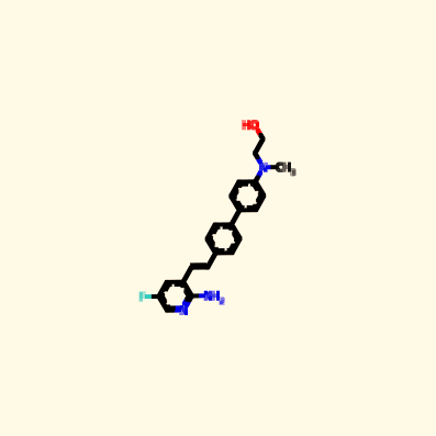 CN(CCO)c1ccc(-c2ccc(/C=C/c3cc(F)cnc3N)cc2)cc1